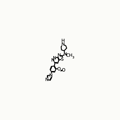 CN(c1nc2nnc(-c3ccc(-n4ccnc4)cc3OC=O)cc2s1)C1CCNCC1